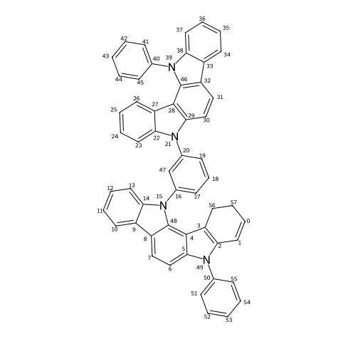 C1=Cc2c(c3c(ccc4c5ccccc5n(-c5cccc(-n6c7ccccc7c7c6ccc6c8ccccc8n(-c8ccccc8)c67)c5)c43)n2-c2ccccc2)CC1